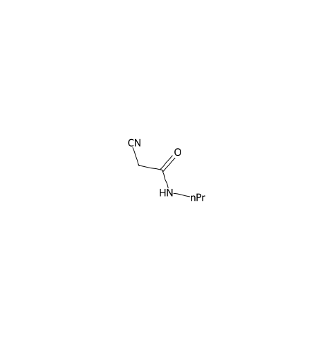 CCCNC(=O)CC#N